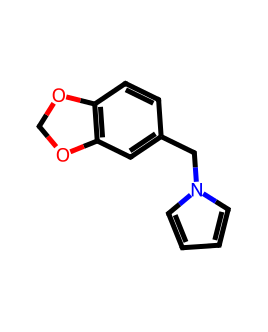 c1ccn(Cc2ccc3c(c2)OCO3)c1